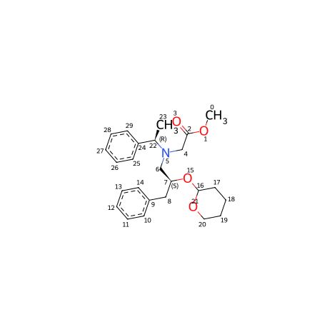 COC(=O)CN(C[C@H](Cc1ccccc1)OC1CCCCO1)[C@H](C)c1ccccc1